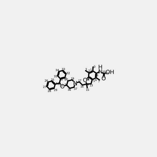 Cc1c(C)c2c(c(C)c1NC(=O)O)CC(C)(CCN1CCC(OC(c3ccccc3)c3ccccc3)CC1)O2